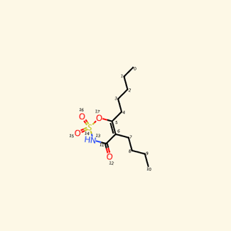 CCCCCC1=C(CCCC)C(=O)NS(=O)(=O)O1